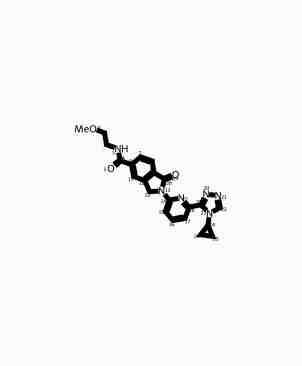 COCCNC(=O)c1ccc2c(c1)CN(c1cccc(-c3nncn3C3CC3)n1)C2=O